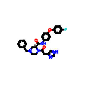 O=C(Nc1ccc(Oc2ccc(F)cc2)cc1)[C@@H]1CN(Cc2ccccc2)CCN1C(=O)Cc1c[nH]cn1